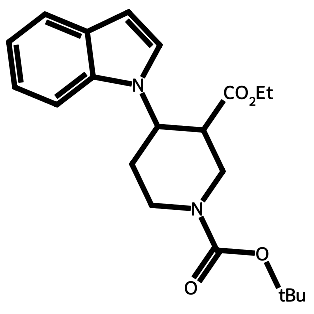 CCOC(=O)C1CN(C(=O)OC(C)(C)C)CCC1n1ccc2ccccc21